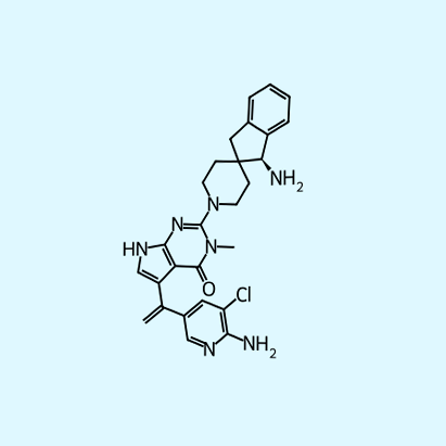 C=C(c1cnc(N)c(Cl)c1)c1c[nH]c2nc(N3CCC4(CC3)Cc3ccccc3[C@H]4N)n(C)c(=O)c12